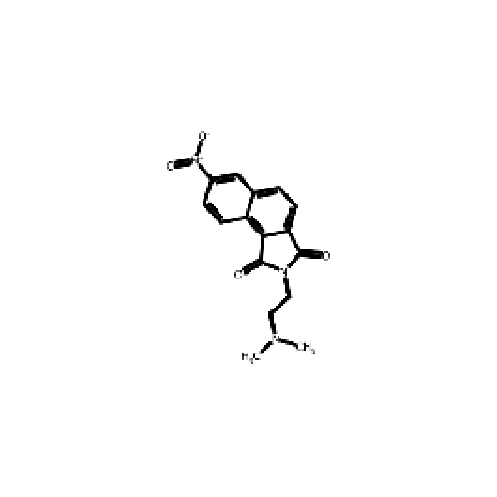 CN(C)CCN1C(=O)c2ccc3cc([N+](=O)[O-])ccc3c2C1=O